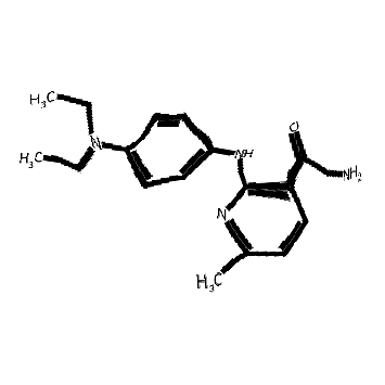 CCN(CC)c1ccc(Nc2nc(C)ccc2C(N)=O)cc1